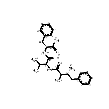 CC(C)[C@H](NC(=O)C(O)[C@H](N)Cc1ccccc1)C(=O)N[C@@H](Cc1ccccc1)C(=O)O